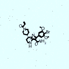 C=CC(=O)N1CCC([C@H]2CCNc3c(C(N)=O)c(-c4cc(OC)c(Br)c(OC)c4)nn32)CC1